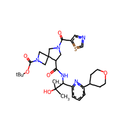 CC(C)(C)OC(=O)N1CC2(C1)CN(C(=O)c1cncs1)CC2C(=O)NC(c1cccc(C2CCOCC2)n1)C(C)(C)O